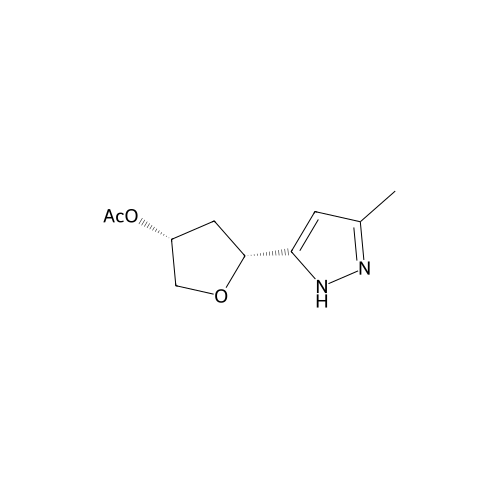 CC(=O)O[C@H]1CO[C@@H](c2cc(C)n[nH]2)C1